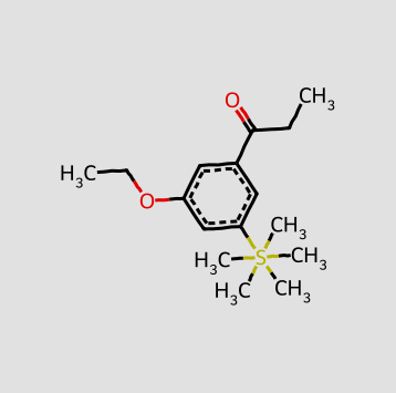 CCOc1cc(C(=O)CC)cc(S(C)(C)(C)(C)C)c1